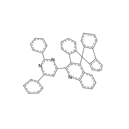 c1ccc(-c2cc(-c3nc4ccccc4c4c3-c3ccccc3C43c4ccccc4-c4ccccc43)nc(-c3ccccc3)n2)cc1